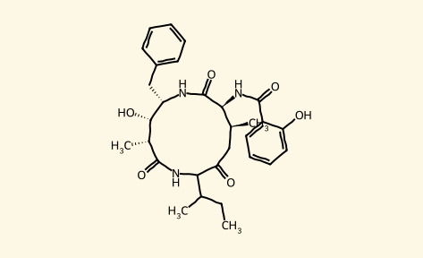 CCC(C)C1NC(=O)[C@H](C)[C@H](O)[C@H](Cc2ccccc2)NC(=O)[C@@H](NC(=O)c2ccccc2O)[C@@H](C)CC1=O